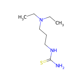 CCN(CC)CCCNC(N)=S